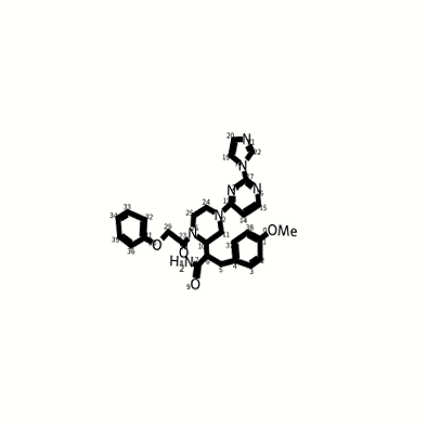 COc1ccc(CC(C(N)=O)C2CN(c3ccnc(-n4ccnc4)n3)CCN2C(=O)COc2ccccc2)cc1